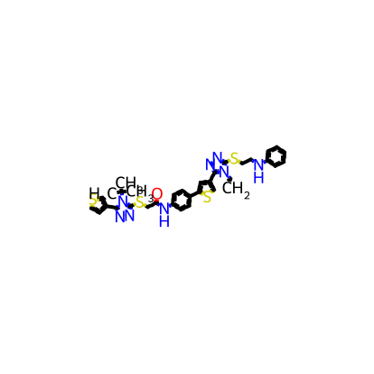 C=Cn1c(SCCNc2ccccc2)nnc1-c1csc(-c2ccc(NC(=O)CSc3nnc(-c4ccsc4)n3C(C)(C)C)cc2)c1